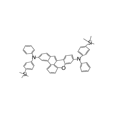 C[Si](C)(C)c1ccc(N(c2ccccc2)c2ccc3c(c2)Oc2cccc4c2c-3cc2ccc(N(c3ccccc3)c3ccc([Si](C)(C)C)cc3)cc24)cc1